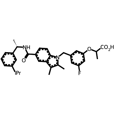 Cc1c(C)n(Cc2cc(F)cc(OC(C)C(=O)O)c2)c2ccc(C(=O)N[C@@H](C)c3cccc(C(C)C)c3)cc12